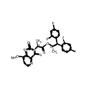 COc1ccnc2c(=O)n([C@@H](C)C(=O)O[C@@H](C)C(c3ccc(F)cc3F)c3ccc(F)cc3F)c(=O)oc12